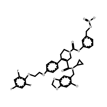 O=C(Oc1cccc(CO[N+](=O)[O-])c1)N1CCC(c2ccc(OCCOc3c(F)cc(F)cc3F)cc2)=C(C(=O)N(Cc2cc3c(cc2Cl)OCO3)C2CC2)C1